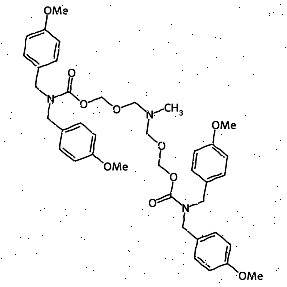 COc1ccc(CN(Cc2ccc(OC)cc2)C(=O)OCOCN(C)COCOC(=O)N(Cc2ccc(OC)cc2)Cc2ccc(OC)cc2)cc1